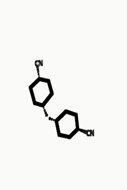 N#C[C@H]1CC[C@H](C[C@H]2CC[C@@H](C#N)CC2)CC1